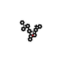 CC1(C)c2ccccc2-c2cc3c4ccccc4n(-c4cc(-c5cccc6c5c5ccccc5n6-c5ccccc5)ccc4-c4ccc5ccccc5c4)c3cc21